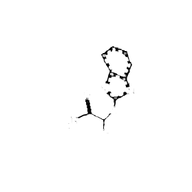 CC(Sc1nc2ccccc2s1)C(N)=O